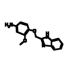 COc1cc(N)ccc1OCc1nc2ccccc2[nH]1